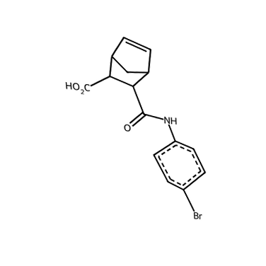 O=C(O)C1C2C=CC(C2)C1C(=O)Nc1ccc(Br)cc1